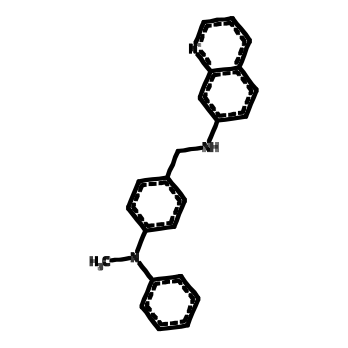 CN(c1ccccc1)c1ccc(CNc2ccc3cccnc3c2)cc1